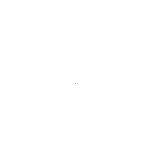 CC(=O)Oc1ccc(CC(NC(=O)OC(C)(C)C)C(N)=O)cc1I